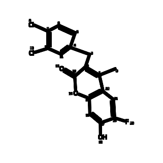 Cc1c(Cc2ccc(Cl)c(Cl)c2)c(=O)oc2cc(O)c(F)cc12